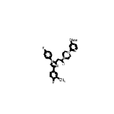 COc1ccnc(N2CCN(C(=O)Cc3nc(-c4ccc(F)c(C)c4)cn3-c3ccc(F)cc3)CC2)c1